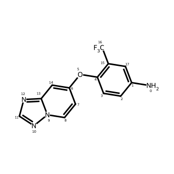 Nc1ccc(Oc2ccn3ncnc3c2)c(C(F)(F)F)c1